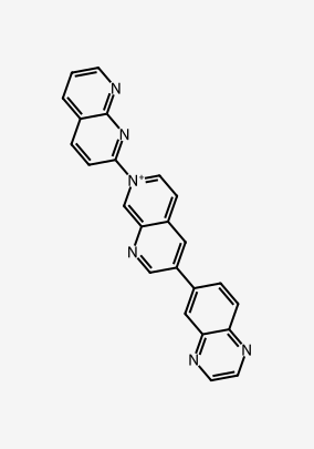 c1cnc2nc(-[n+]3ccc4cc(-c5ccc6nccnc6c5)cnc4c3)ccc2c1